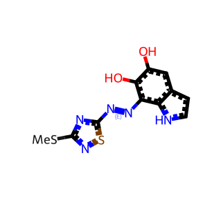 CSc1nsc(/N=N/c2c(O)c(O)cc3cc[nH]c23)n1